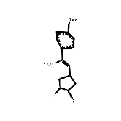 CCOC(=O)C(=CC1CC(F)C(F)C1)c1ccc(SC)cc1